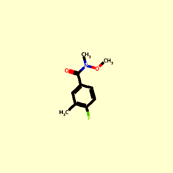 CON(C)C(=O)c1ccc(F)c(C)c1